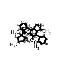 C=C1NCc2c1c(-c1ccccc1C)c(C)c1c2c2ccccc2n1C1(C)CC(C)CC1(C)C(=C)CC